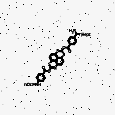 CCCCCCCCNc1ccc(C(=O)OC2=Nc3ccc4c5c(ccc(c35)S2)N=C(OC(=O)c2ccc(C(N)CCCCCCC)cc2)S4)cc1